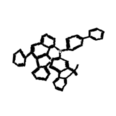 CC1(C)c2ccccc2-c2ccc(N(c3ccc(-c4ccccc4)cc3)c3cccc4cc(-c5ccccc5)c5c6ccccc6sc5c34)cc21